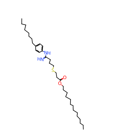 CCCCCCCCCCCCCCOC(=O)CCSCCCC(=N)Nc1ccc(CCCCCCCC)cc1